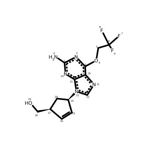 Nc1nc(OCC(F)(F)F)c2ncn([C@H]3C=C[C@@H](CO)C3)c2n1